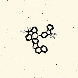 CC1(C)c2ccccc2-c2cc(N(c3ccc4sc5ccc6ccccc6c5c4c3)c3cccc4c3-c3ccccc3C4(C)C)ccc21